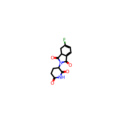 O=C1CCC(N2C(=O)C3=CC=C(F)CC3C2=O)C(=O)N1